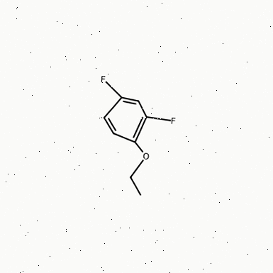 CCOc1c[c]c(F)cc1F